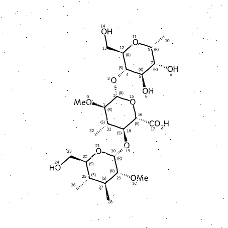 CO[C@H]1[C@H](O[C@H]2[C@H](O)[C@@H](O)[C@@H](C)O[C@@H]2CO)O[C@H](C(=O)O)[C@@H](O[C@H]2O[C@H](CO)[C@@H](C)[C@H](C)[C@H]2OC)[C@@H]1C